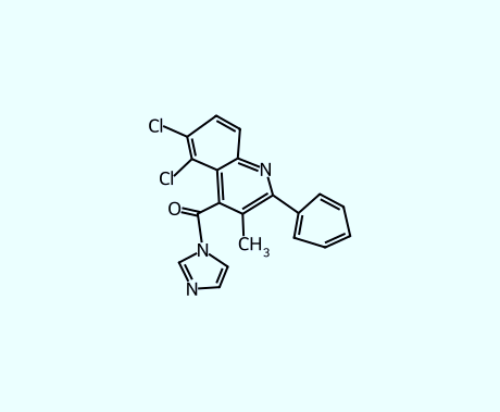 Cc1c(-c2ccccc2)nc2ccc(Cl)c(Cl)c2c1C(=O)n1ccnc1